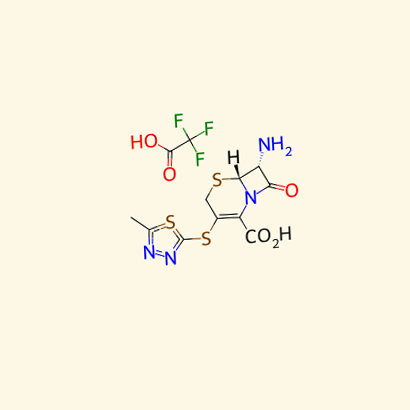 Cc1nnc(SC2=C(C(=O)O)N3C(=O)[C@@H](N)[C@H]3SC2)s1.O=C(O)C(F)(F)F